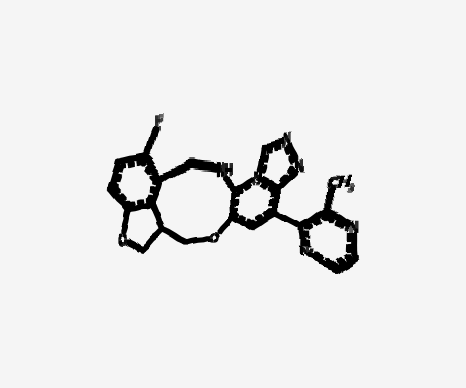 Cc1nccnc1-c1cc2c(n3cnnc13)NCc1c(F)ccc3c1C(CO3)CO2